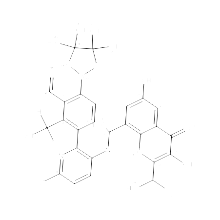 [2H]C([2H])([2H])c1c(-c2nc(Cl)ccc2NC(C)c2cc(C)cc3c(=O)c(C)c(C(C)C)oc23)ccc(B2OC(C)(C)C(C)(C)O2)c1C=O